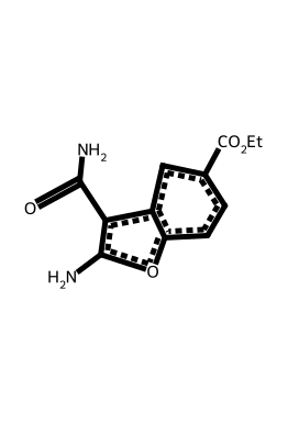 CCOC(=O)c1ccc2oc(N)c(C(N)=O)c2c1